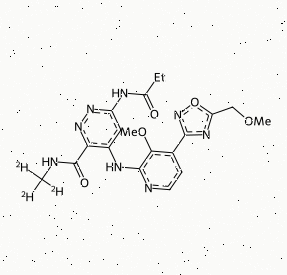 [2H]C([2H])([2H])NC(=O)c1nnc(NC(=O)CC)cc1Nc1nccc(-c2noc(COC)n2)c1OC